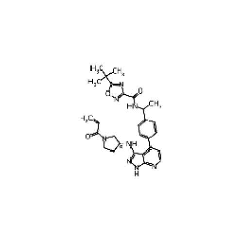 C=CC(=O)N1CC[C@@H](Nc2n[nH]c3nccc(-c4ccc(C(C)NC(=O)c5noc(C(C)(C)C)n5)cc4)c23)C1